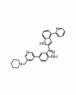 c1ccc(-c2cccc3[nH]c(-c4n[nH]c5ccc(-c6cncc(CN7CCCCC7)c6)cc45)cc23)nc1